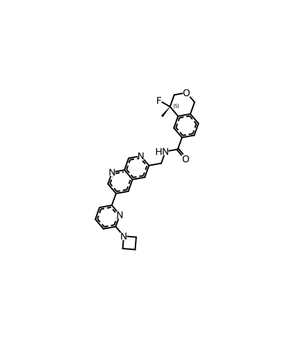 C[C@@]1(F)COCc2ccc(C(=O)NCc3cc4cc(-c5cccc(N6CCC6)n5)cnc4cn3)cc21